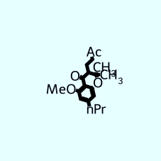 CCCc1cc(OC)c2c(c1)OC(C)(C)C(CCC(C)=O)C2=O